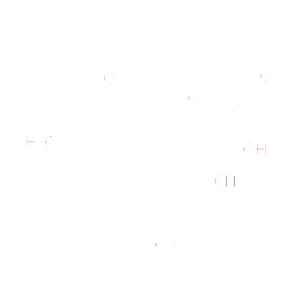 Cc1cc(C)c(OI)c(O[PH](=O)O)c1C